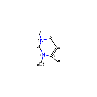 CCN1CN(C)CC=C1C